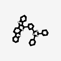 c1ccc(-c2nc(-c3ccccc3)nc(-c3cccc(-c4nc5c(ccc6c7ccccc7sc65)c5oc6ccccc6c45)c3)n2)cc1